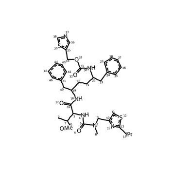 COC(C)C(NC(=O)N(C)Cc1csc(C(C)C)n1)C(=O)NC(CCC(Cc1ccccc1)NC(=O)OCc1cncs1)Cc1ccccc1